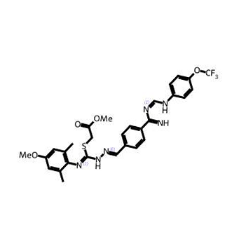 COC(=O)CS/C(=N\c1c(C)cc(OC)cc1C)N/N=C/c1ccc(C(=N)/N=C\Nc2ccc(OC(F)(F)F)cc2)cc1